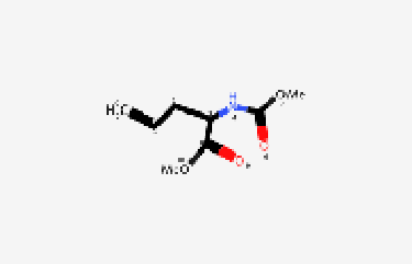 C=CCC(NC(=O)OC)C(=O)OC